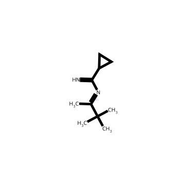 C/C(=N\C(=N)C1CC1)C(C)(C)C